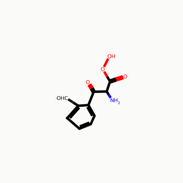 NC(C(=O)OO)C(=O)c1ccccc1[C]=O